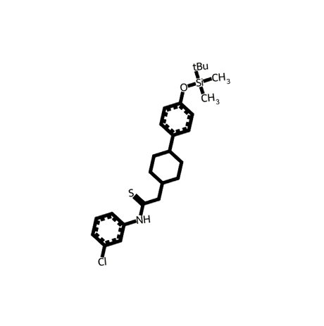 CC(C)(C)[Si](C)(C)Oc1ccc(C2CCC(CC(=S)Nc3cccc(Cl)c3)CC2)cc1